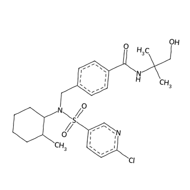 CC1CCCCC1N(Cc1ccc(C(=O)NC(C)(C)CO)cc1)S(=O)(=O)c1ccc(Cl)nc1